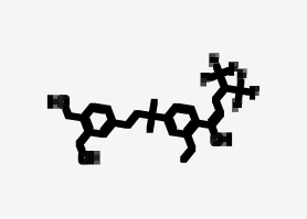 CCc1cc(C(C)(C)CCc2ccc(CO)c(CO)c2)ccc1/C(O)=C\CC(C(F)(F)F)C(F)(F)F